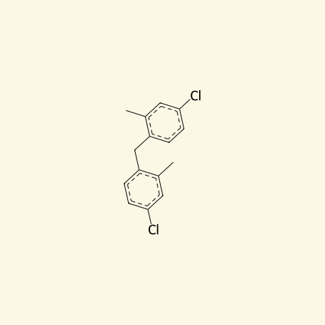 Cc1cc(Cl)ccc1Cc1ccc(Cl)cc1C